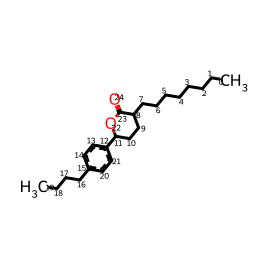 CCCCCCCCC1CCC(c2ccc(CCCC)cc2)OC1=O